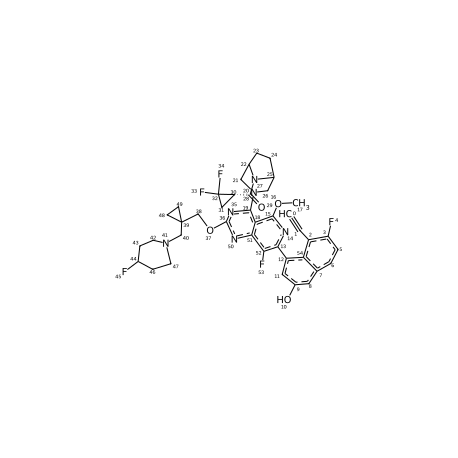 C#Cc1c(F)ccc2cc(O)cc(-c3nc(OC)c4c(N5CC6CCC(C5)N6C(=O)[C@@H]5CC5(F)F)nc(OCC5(CN6CCC(F)CC6)CC5)nc4c3F)c12